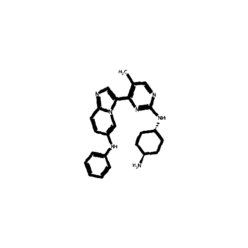 Cc1cnc(N[C@H]2CC[C@H](N)CC2)nc1-c1cnc2ccc(Nc3ccccc3)cn12